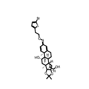 CC1(C)O[C@@H]2C[C@H]3[C@@H]4CCC5=C/C(=N/OCCc6ccc(Br)s6)C=C[C@]5(C)[C@@]4(F)[C@@H](O)C[C@]3(C)[C@]2(C(=O)CO)O1